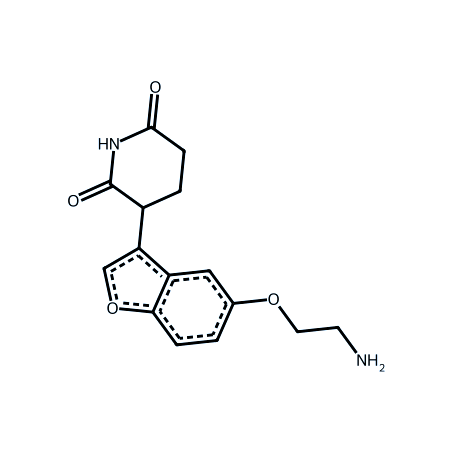 NCCOc1ccc2occ(C3CCC(=O)NC3=O)c2c1